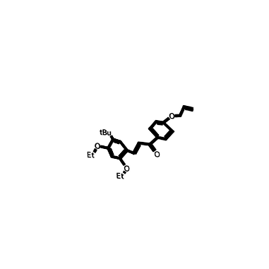 C=CCOc1ccc(C(=O)/C=C/c2cc(C(C)(C)C)c(OCC)cc2OCC)cc1